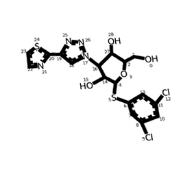 OCC1OC(Sc2cc(Cl)cc(Cl)c2)C(O)C(n2cc(-c3nccs3)nn2)C1O